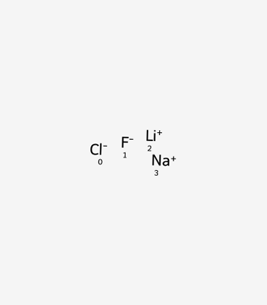 [Cl-].[F-].[Li+].[Na+]